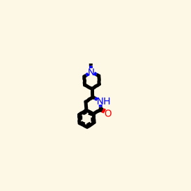 CN1CCC(C2Cc3ccccc3C(=O)N2)CC1